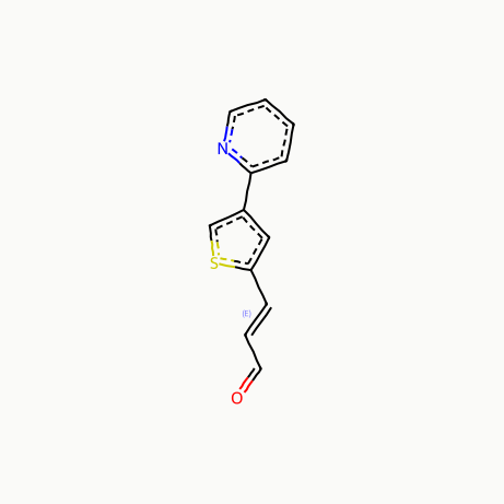 O=C/C=C/c1cc(-c2ccccn2)cs1